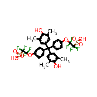 Cc1cc(C(c2ccc(OC(F)(F)C(F)(F)S(=O)(=O)O)cc2)(c2ccc(OC(F)(F)C(F)(F)S(=O)(=O)O)cc2)c2cc(C)c(O)c(C)c2)cc(C)c1O